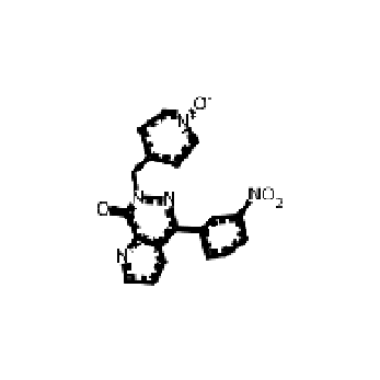 O=c1c2ncccc2c(-c2cccc([N+](=O)[O-])c2)nn1Cc1cc[n+]([O-])cc1